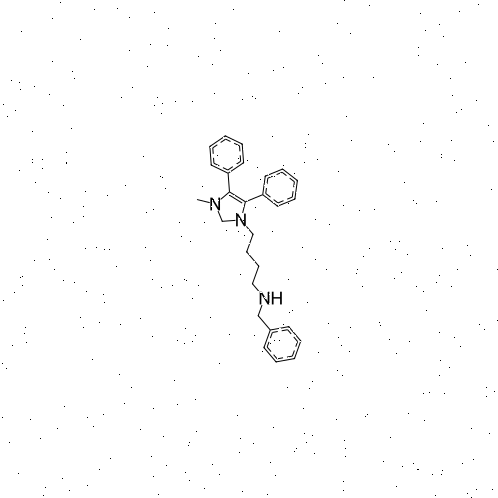 CN1CN(CCCCNCc2ccccc2)C(c2ccccc2)=C1c1ccccc1